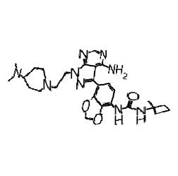 CN(C)C1CCN(CCn2nc(-c3ccc(NC(=O)NC4(C)CCC4)c4c3OCO4)c3c(N)ncnc32)CC1